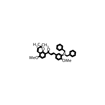 COc1ccc(C=CC(=O)c2ccc(OC)c3c2OC(C)(C)C=C3)cc1N(Cc1ccccc1)Cc1ccccc1